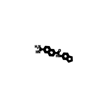 N=C(N)c1ccc2cc(C(=O)Nc3ccc4c(c3)CCC4)ccc2c1